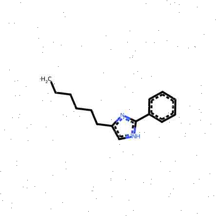 [CH2]CCCCCc1c[nH]c(-c2ccccc2)n1